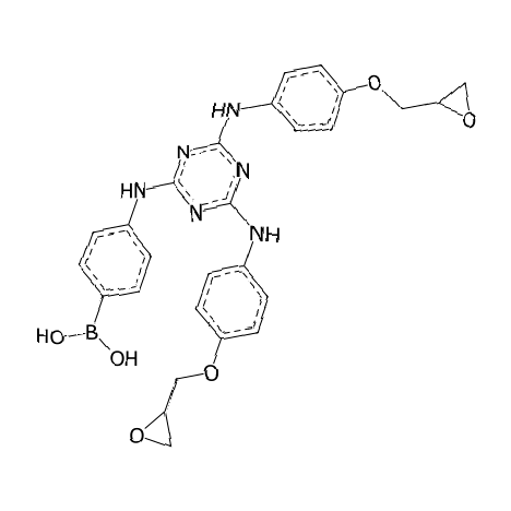 OB(O)c1ccc(Nc2nc(Nc3ccc(OCC4CO4)cc3)nc(Nc3ccc(OCC4CO4)cc3)n2)cc1